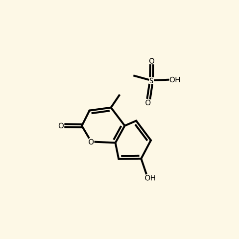 CS(=O)(=O)O.Cc1cc(=O)oc2cc(O)ccc12